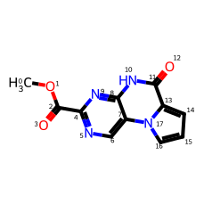 COC(=O)c1ncc2c(n1)[nH]c(=O)c1cccn12